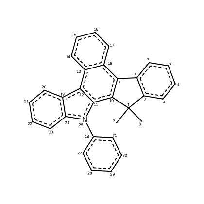 CC1(C)c2ccccc2-c2c1c1c(c3ccccc23)c2ccccc2n1-c1ccccc1